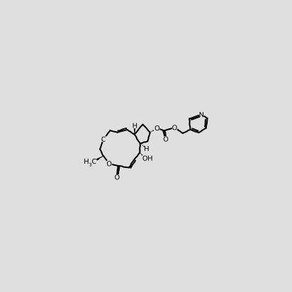 C[C@H]1CCC/C=C/[C@@H]2C[C@H](OC(=O)OCc3cccnc3)C[C@H]2[C@H](O)/C=C/C(=O)O1